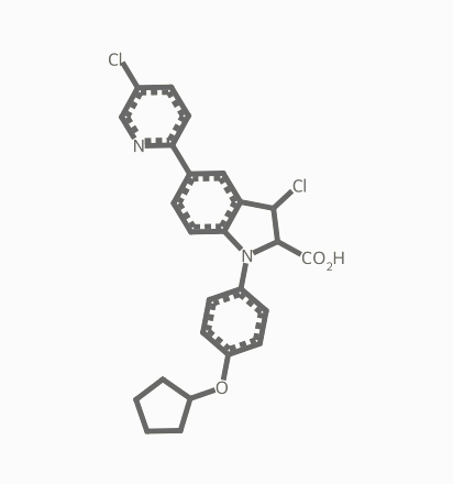 O=C(O)C1C(Cl)c2cc(-c3ccc(Cl)cn3)ccc2N1c1ccc(OC2CCCC2)cc1